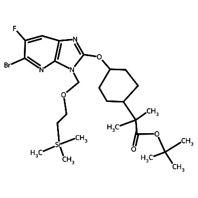 CC(C)(C)OC(=O)C(C)(C)C1CCC(Oc2nc3cc(F)c(Br)nc3n2COCC[Si](C)(C)C)CC1